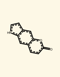 O=c1ccc2cc3[nH]ccc3cc2o1